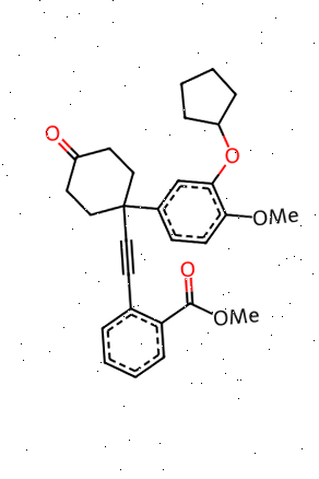 COC(=O)c1ccccc1C#CC1(c2ccc(OC)c(OC3CCCC3)c2)CCC(=O)CC1